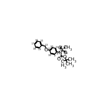 CC(C)(C)OC(=O)N(c1ccc(OCc2ccccc2)cc1)S(C)(=O)=O